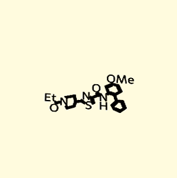 CCC(=O)N1CCC(c2nc(C(=O)Nc3cc(OC)ccc3-c3ccccc3)cs2)CC1